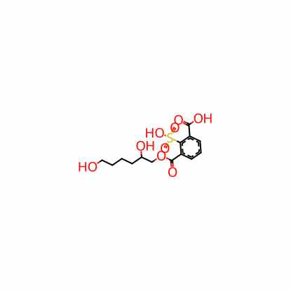 O=C(O)c1cccc(C(=O)OCC(O)CCCCO)c1S(=O)(=O)O